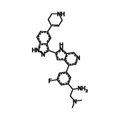 CN(C)CC(N)c1cc(F)cc(-c2cncc3[nH]c(-c4n[nH]c5ccc(C6=CCNCC6)cc45)cc23)c1